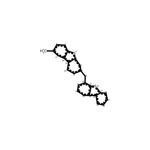 Cc1ccc2sc3cc(Cc4cccc5c4sc4ccccc45)ccc3c2c1